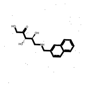 O=C(CO)[C@@H](O)[C@@H](O)CNCc1ccc2ccccc2c1